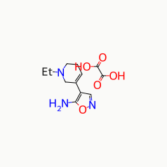 CCN1CCC=C(c2cnoc2N)C1.O=C(O)C(=O)O